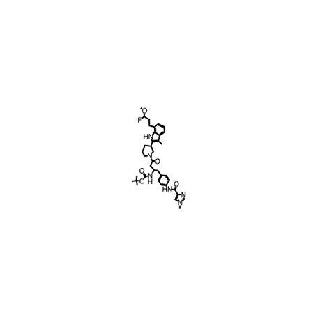 COC(F)CCc1cccc2c(C)c(C3CCCN(C(=O)CC(Cc4ccc(NC(=O)c5cn(C)cn5)cc4)NC(=O)OC(C)(C)C)C3)[nH]c12